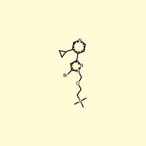 C[Si](C)(C)CCOCn1nc(-c2ccncc2C2CC2)cc1Br